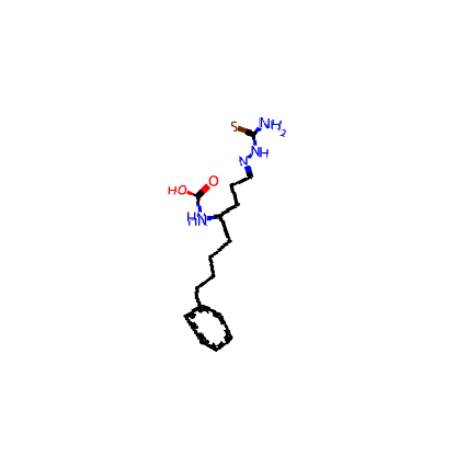 NC(=S)NN=CCCC(CCCCc1ccccc1)NC(=O)O